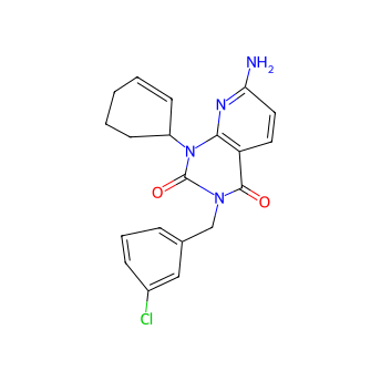 Nc1ccc2c(=O)n(Cc3cccc(Cl)c3)c(=O)n(C3C=CCCC3)c2n1